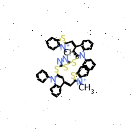 C[n+]1c(/C=C2\C=C(Sc3nnc(SC4=C/C(=C\c5sc6ccccc6[n+]5C)c5ccccc5N4c4ccccc4)s3)N(c3ccccc3)c3ccccc32)sc2ccccc21